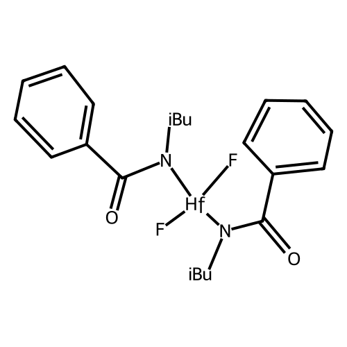 CCC(C)[N](C(=O)c1ccccc1)[Hf]([F])([F])[N](C(=O)c1ccccc1)C(C)CC